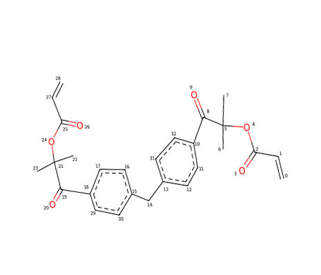 C=CC(=O)OC(C)(C)C(=O)c1ccc(Cc2ccc(C(=O)C(C)(C)OC(=O)C=C)cc2)cc1